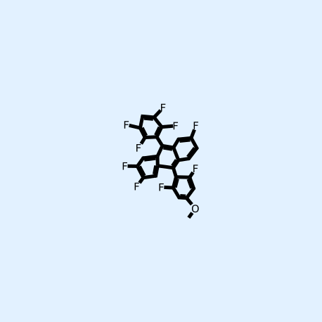 COc1cc(F)c(-c2c3ccc(F)cc3c(-c3c(F)c(F)cc(F)c3F)c3cc(F)c(F)cc23)c(F)c1